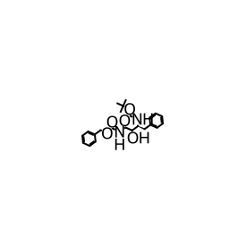 CC(C)(C)OC(=O)N[C@@H](Cc1ccccc1)[C@H](O)CNC(=O)OCc1ccccc1